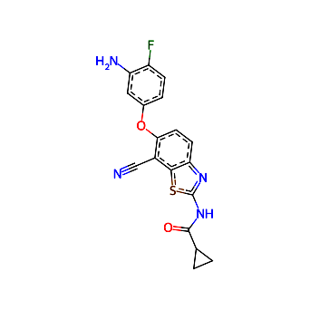 N#Cc1c(Oc2ccc(F)c(N)c2)ccc2nc(NC(=O)C3CC3)sc12